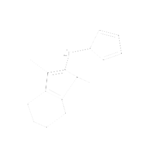 CC1=[C]([Zr][CH]2C=CC=C2)C(C)C2=C1CCCC2